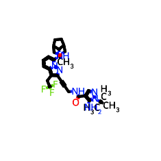 CN1CC2CCC(C1)C2Nc1cccc2c(CC(F)(F)F)c(C#CCNC(=O)c3cnn(C(C)(C)C)c3N)nn12